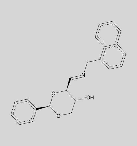 O[C@@H]1CO[C@@H](c2ccccc2)O[C@H]1/C=N/Cc1cccc2ccccc12